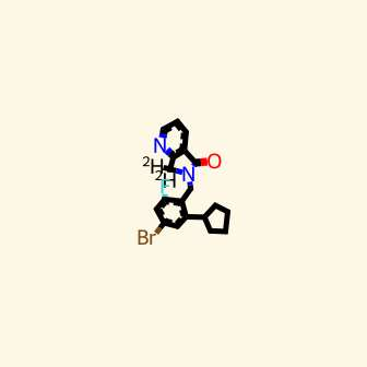 [2H]C1([2H])c2ncccc2C(=O)N1Cc1c(F)cc(Br)cc1C1CCCC1